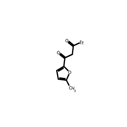 CCC(=O)CC(=O)c1ccc(C)o1